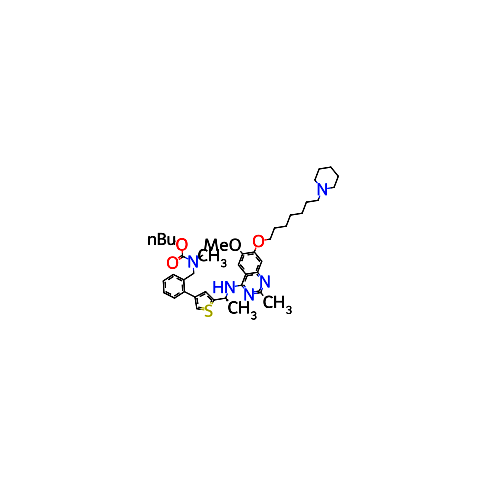 CCCCOC(=O)N(C)Cc1ccccc1-c1csc([C@H](C)Nc2nc(C)nc3cc(OCCCCCCCN4CCCCC4)c(OC)cc23)c1